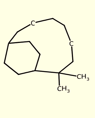 CC1(C)CCCCCCC2CC[C]1CC2